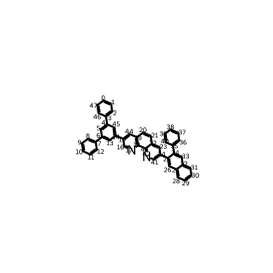 c1ccc(-c2cc(-c3ccccc3)cc(-c3cnc4c(ccc5cc(-c6cc7ccccc7cc6-c6ccccc6)cnc54)c3)c2)cc1